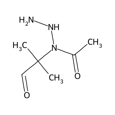 CC(=O)N(NN)C(C)(C)C=O